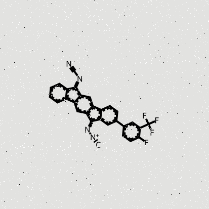 [C-]#[N+]/N=c1\c2cc(-c3ccc(F)c(C(F)(F)F)c3)ccc2c2cc3/c(=N/C#N)c4ccccc4c3cc12